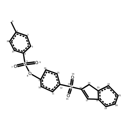 Cc1ccc(S(=O)(=O)Oc2ccc(S(=O)(=O)C3=Cc4ccccc4C3)cc2)cc1